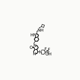 O=c1c2cncc(N3CCC(O)(C(F)(F)F)CC3)c2ccn1Cc1ccc2cc(CNCC3CCC3)[nH]c2c1